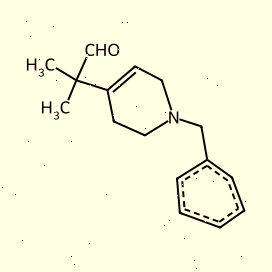 CC(C)(C=O)C1=CCN(Cc2ccccc2)CC1